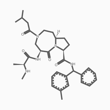 CN[C@@H](C)C(=O)N[C@H]1CN(C(=O)CC(C)C)CC[C@H]2CC[C@@H](C(=O)NC(c3ccccc3)c3cccc(C)c3)N2C1=O